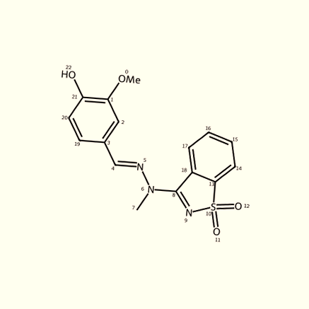 COc1cc(C=NN(C)C2=NS(=O)(=O)c3ccccc32)ccc1O